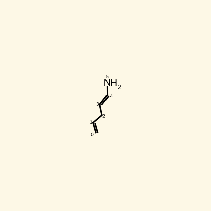 C=CCC=CN